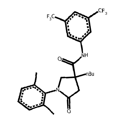 CCCCC1(C(=O)Nc2cc(C(F)(F)F)cc(C(F)(F)F)c2)CC(=O)N(c2c(C)cccc2C)C1